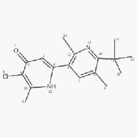 Cc1cc(-c2cc(=O)c(Cl)c(C)[nH]2)c(C)nc1C(C)(C)C